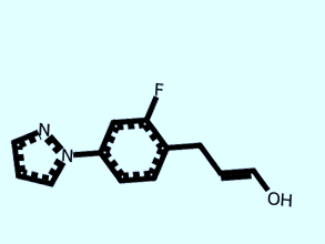 O/C=C/Cc1ccc(-n2cccn2)cc1F